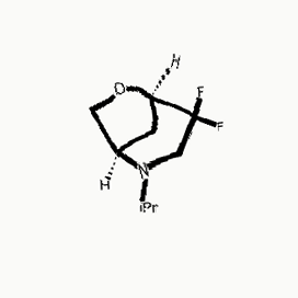 CC(C)N1CC(F)(F)[C@H]2C[C@@H]1CO2